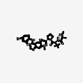 CN[C@@H](C)C(=O)N[C@H](C(=O)N1CCC[C@H]1C(=O)Nc1cc2c(Nc3ccc(Br)cc3Cl)ncnc2cc1OC)C(C)(C)C